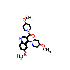 COc1ccc2ncc(C(=O)N3CCC(OC)CC3)c(N3CCC(OC)CC3)c2c1